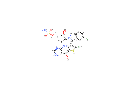 NS(=O)(=O)OC[C@H]1C[C@@H](Nc2ncncc2C(=O)c2cc(C3NCc4ccc(Cl)cc43)c(Cl)s2)C[C@@H]1O